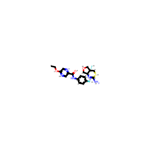 CCOc1cnc(C(=O)Nc2ccc(F)c([C@]34COC[C@@]3(F)CSC(N)=N4)c2)cn1